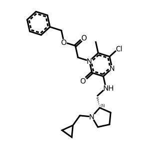 Cc1c(Cl)nc(NC[C@@H]2CCCN2CC2CC2)c(=O)n1CC(=O)OCc1ccccc1